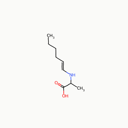 CCCC/C=C/NC(C)C(=O)O